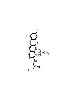 C[C@H](O)Cn1c(=O)c(Oc2ccc(F)cc2F)cc2cnc(NC[C@@H](C)O)nc21